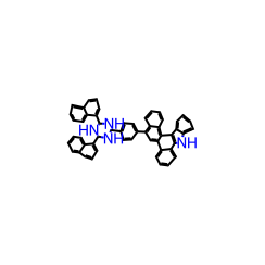 c1ccc2c(C3NC(c4ccc(-c5cc6c7ccccc7c7[nH]c8ccccc8c7c6c6ccccc56)cc4)NC(c4cccc5ccccc45)N3)cccc2c1